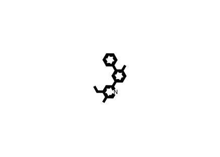 CCc1cc(-c2ccc(C)c(-c3ccccc3)c2)ncc1C